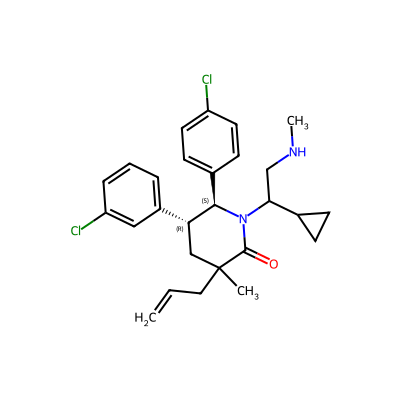 C=CCC1(C)C[C@H](c2cccc(Cl)c2)[C@@H](c2ccc(Cl)cc2)N(C(CNC)C2CC2)C1=O